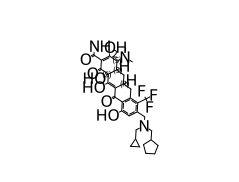 CN(C)[C@@H]1C(O)=C(C(N)=O)C(=O)[C@@]2(O)C(O)=C3C(=O)c4c(O)cc(CN(CC5CCCC5)CC5CC5)c(C(F)(F)F)c4C[C@H]3C[C@@H]12